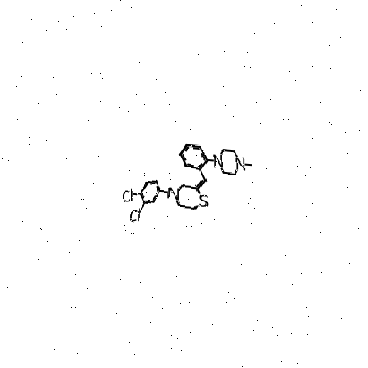 CN1CCN(c2ccccc2C=C2CN(c3ccc(Cl)c(Cl)c3)CCS2)CC1